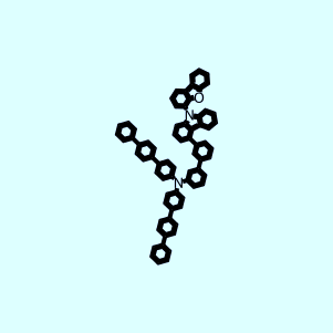 c1ccc(-c2ccc(-c3ccc(N(c4ccc(-c5ccc(-c6ccccc6)cc5)cc4)c4cccc(-c5cccc(-c6cccc7c6c6ccccc6n7-c6cccc7c6oc6ccccc67)c5)c4)cc3)cc2)cc1